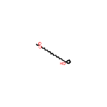 CCC(=O)OCCCCCCCCCCCCCCCCCC(O)c1ccccc1